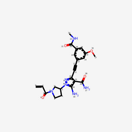 C=CC(=O)N1CCC(n2nc(C#Cc3cc(OC)cc(C(=O)NC)c3)c(C(N)=O)c2N)C1